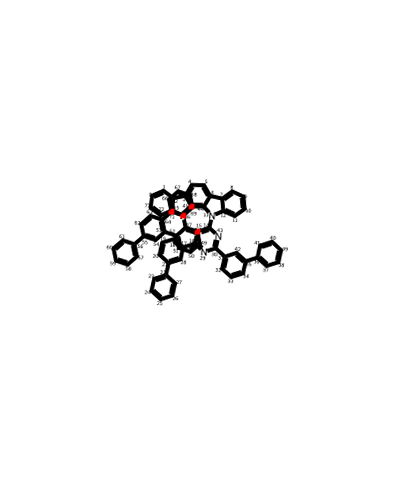 C1=CC2c3ccc4c5ccccc5n(-c5nc(-c6cccc(-c7ccccc7)c6)nc(-c6cccc(-c7ccccc7)c6)n5)c4c3N(c3ccccc3-c3cc(-c4ccccc4)ccc3-c3ccccc3)C2C=C1